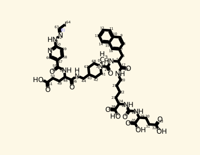 C[N+]1(C(=O)NC(Cc2ccc3ccccc3c2)C(=O)NCCCCC(NC(=O)NC(CCC(=O)O)C(=O)O)C(=O)O)CCC(CNC(=O)C(CCC(=O)O)NC(=O)c2ccc(N/N=C/I)nc2)CC1